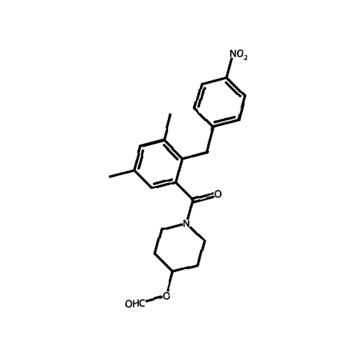 Cc1cc(C)c(Cc2ccc([N+](=O)[O-])cc2)c(C(=O)N2CCC(OC=O)CC2)c1